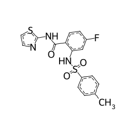 Cc1ccc(S(=O)(=O)Nc2cc(F)ccc2C(=O)Nc2nccs2)cc1